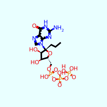 CCC[C@@]1(n2cnc3c(=O)[nH]c(N)nc32)O[C@H](COP(=O)(O)OP(=O)(O)OP(=O)(O)O)[C@@H](O)[C@H]1O